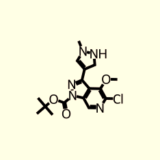 COc1c(Cl)ncc2c1c(C1=CN(C)NC1)nn2C(=O)OC(C)(C)C